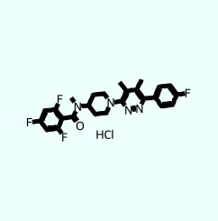 Cc1c(-c2ccc(F)cc2)nnc(N2CCC(N(C)C(=O)c3c(F)cc(F)cc3F)CC2)c1C.Cl